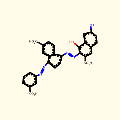 Nc1ccc2cc(S(=O)(=O)O)c(/N=N/c3ccc(/N=N/c4cccc(C(=O)O)c4)c4cc(C(=O)O)ccc34)c(O)c2c1